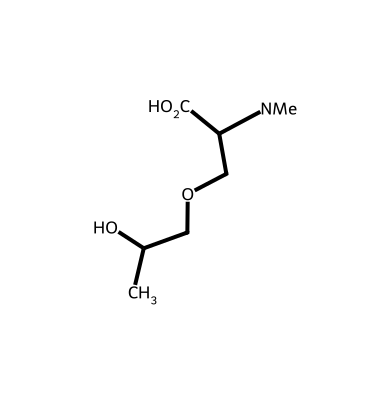 CNC(COCC(C)O)C(=O)O